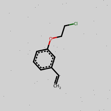 C=[C]c1cccc(OCCCl)c1